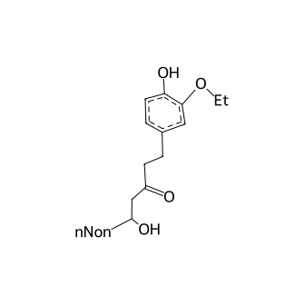 CCCCCCCCCC(O)CC(=O)CCc1ccc(O)c(OCC)c1